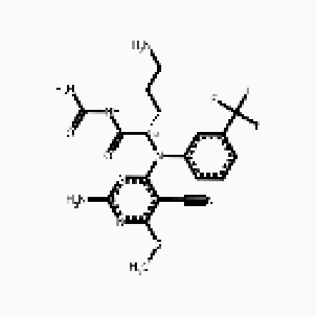 CSc1nc(N)nc(N(c2cccc(C(F)(F)F)c2)[C@@H](CCCN)C(=O)NC(N)=O)c1C#N